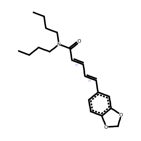 CCCCN(CCCC)C(=O)/C=C/C=C/c1ccc2c(c1)OCO2